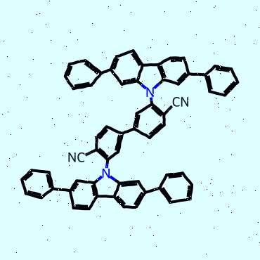 N#Cc1ccc(-c2ccc(C#N)c(-n3c4cc(-c5ccccc5)ccc4c4ccc(-c5ccccc5)cc43)c2)cc1-n1c2cc(-c3ccccc3)ccc2c2ccc(-c3ccccc3)cc21